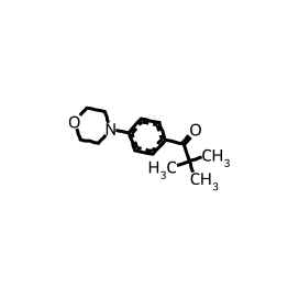 CC(C)(C)C(=O)c1ccc(N2CCOCC2)cc1